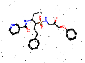 CC(C)CC(NC(=O)c1cccnc1)C(CCc1ccccc1)S(=O)(=O)NCC(=O)COc1ccccc1